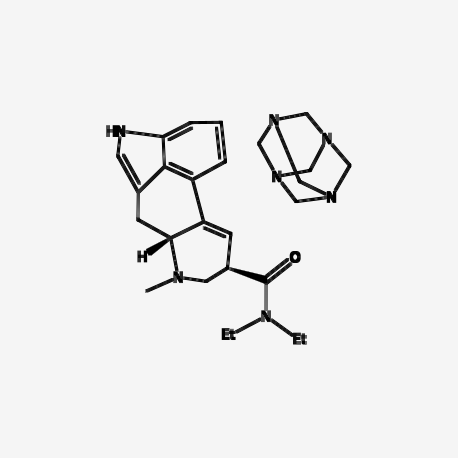 C1N2CN3CN1CN(C2)C3.CCN(CC)C(=O)[C@@H]1C=C2c3cccc4[nH]cc(c34)C[C@H]2N(C)C1